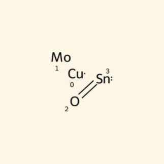 [Cu].[Mo].[O]=[Sn]